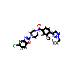 CC(C)(C)Cn1ncc(-c2ccc(C(=O)N3CCN(c4nc5nc(Cl)ccc5o4)CC3)cc2C(F)(F)F)n1